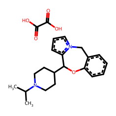 CC(C)N1CCC(C2Oc3ccccc3Cn3cccc32)CC1.O=C(O)C(=O)O